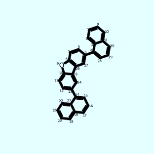 c1ccc2c(-c3ccc4oc5ccc(-c6cccc7ccccc67)cc5c4c3)cccc2c1